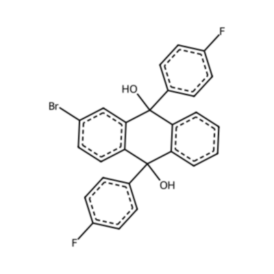 OC1(c2ccc(F)cc2)c2ccccc2C(O)(c2ccc(F)cc2)c2cc(Br)ccc21